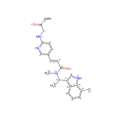 COC(=O)CNc1ccc(/C=C/C(=O)N(C)C(C)c2c[nH]c3c(Cl)cccc23)cn1